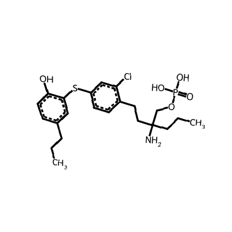 CCCc1ccc(O)c(Sc2ccc(CCC(N)(CCC)COP(=O)(O)O)c(Cl)c2)c1